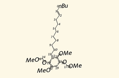 CCCCC=CCCCCCCCCCc1c(OC)c(OCOC)cc(OC)c1OCOC